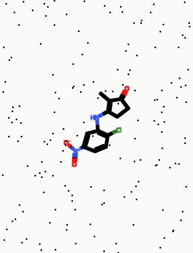 CC1=C(Nc2cc([N+](=O)[O-])ccc2Cl)CCC1=O